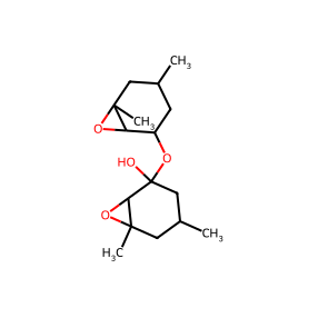 CC1CC(OC2(O)CC(C)CC3(C)OC32)C2OC2(C)C1